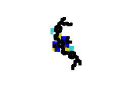 CCCCC(CC)Cc1ccc(-c2ccc(-c3c4nsnc4c(-c4ccc(-c5ccc(CC(CC)CCCC)cc5F)s4)c4nc(C)c(C)nc34)s2)c(F)c1